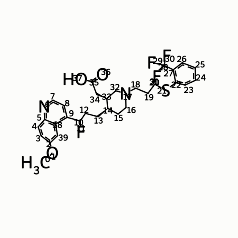 COc1ccc2nccc(C(F)CC[C@@H]3CCN(CCCSc4ccccc4C(F)(F)F)C[C@@H]3CC(=O)O)c2c1